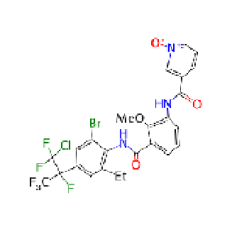 CCc1cc(C(F)(C(F)(F)F)C(F)(F)Cl)cc(Br)c1NC(=O)c1cccc(NC(=O)c2ccc[n+]([O-])c2)c1OC